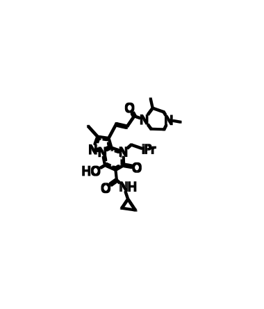 Cc1nn2c(O)c(C(=O)NC3CC3)c(=O)n(CC(C)C)c2c1C=CC(=O)N1CCN(C)CC1C